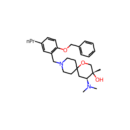 CCCc1ccc(OCc2ccccc2)c(CN2CCC3(CC2)C[C@H](N(C)C)[C@@](C)(O)CO3)c1